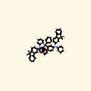 CC1(C)c2ccccc2-c2cc(N(c3ccccc3)c3ccccc3[Si](c3ccccc3)(c3ccccc3)c3cccc(N(c4ccccc4)c4ccc5c(c4)C(C)(C)c4ccccc4-5)c3)ccc21